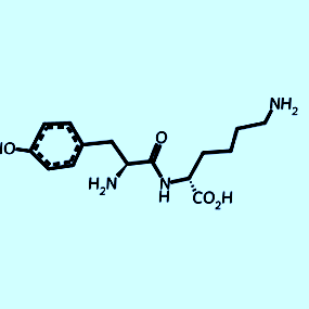 NCCCC[C@@H](NC(=O)[C@@H](N)Cc1ccc(O)cc1)C(=O)O